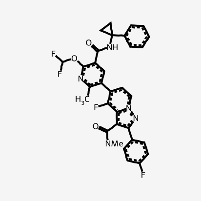 CNC(=O)c1c(-c2ccc(F)cc2)nn2ccc(-c3cc(C(=O)NC4(c5ccccc5)CC4)c(OC(F)F)nc3C)c(F)c12